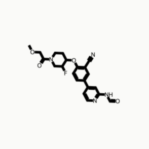 COCC(=O)N1CCC(Oc2ccc(-c3ccnc(NC=O)c3)cc2C#N)C(F)C1